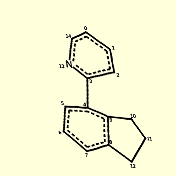 c1ccc(-c2cccc3c2CCC3)nc1